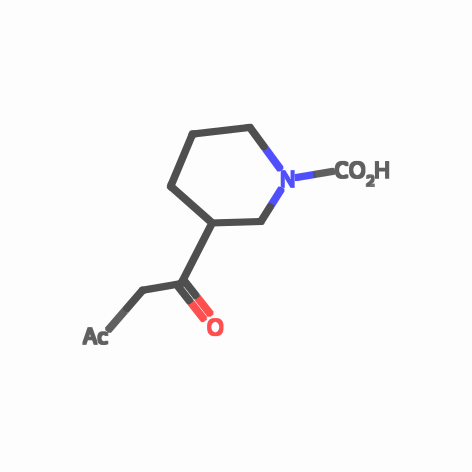 CC(=O)CC(=O)C1CCCN(C(=O)O)C1